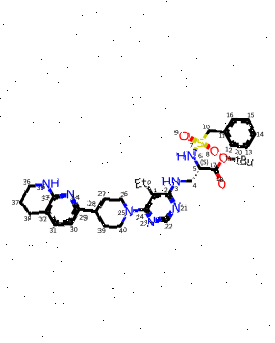 CCc1c(NC[C@H](NS(=O)(=O)Cc2ccccc2)C(=O)OC(C)(C)C)ncnc1N1CCC(c2ccc3c(n2)NCCC3)CC1